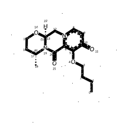 CCCCOc1c2n(ccc1=O)C[C@@H]1OCC[C@@H](C)N1C2=O